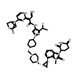 Cn1c(=O)n(C2CCC(=O)NC2=O)c2cccc([C@H]3C[C@@H]3CN3CCN(C[C@H]4CC[C@H](n5cc(NC(=O)/C(C=N)=C6\N=C(N7C[C@H]8CC7CO8)C=CN6)c(C(F)F)n5)CC4)CC3)c21